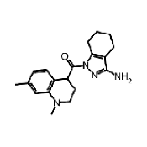 Cc1ccc2c(c1)N(C)CCC2C(=O)n1nc(N)c2c1CCCC2